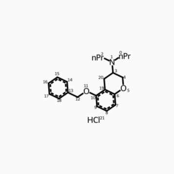 CCCN(CCC)C1COc2cccc(OCc3ccccc3)c2C1.Cl